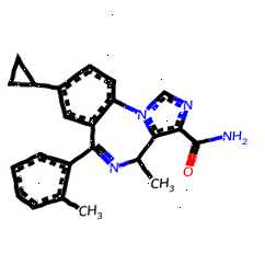 Cc1ccccc1C1=NC(C)c2c(C(N)=O)ncn2-c2ccc(C3CC3)cc21